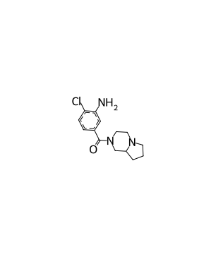 Nc1cc(C(=O)N2CCN3CCCC3C2)ccc1Cl